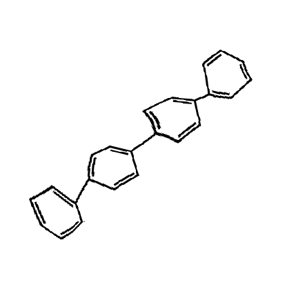 [c]1ccccc1-c1ccc(-c2ccc(-c3ccccc3)cc2)cc1